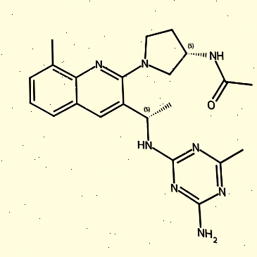 CC(=O)N[C@H]1CCN(c2nc3c(C)cccc3cc2[C@H](C)Nc2nc(C)nc(N)n2)C1